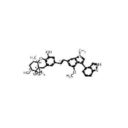 COc1cc(/C=C/c2cc(O)c3c(c2)C[C@@H]2C(C)(C)[C@H](O)CC[C@@]2(C)O3)cc2c1c(-c1cccc3n[nH]cc13)cn2C